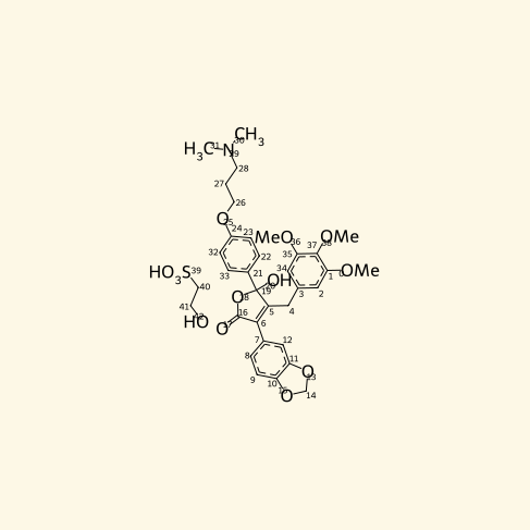 COc1cc(CC2=C(c3ccc4c(c3)OCO4)C(=O)OC2(O)c2ccc(OCCCN(C)C)cc2)cc(OC)c1OC.O=S(=O)(O)CCO